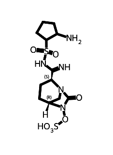 N=C(NS(=O)(=O)C1CCCC1N)[C@@H]1CC[C@@H]2CN1C(=O)N2OS(=O)(=O)O